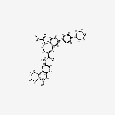 COC(=O)N1CCC(C(=O)Nc2ccc(CN(C)C3CCOCC3)cc2)=Cc2cc(-c3ccc(N4CCOCC4)cc3)ccc21